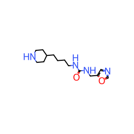 O=C(NCCCCC1CCNCC1)NCc1cnco1